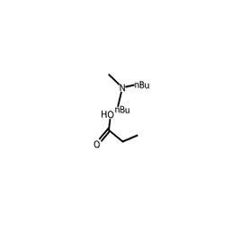 CCC(=O)O.CCCCN(C)CCCC